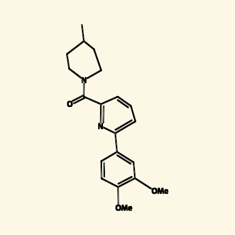 COc1ccc(-c2cccc(C(=O)N3CCC(C)CC3)n2)cc1OC